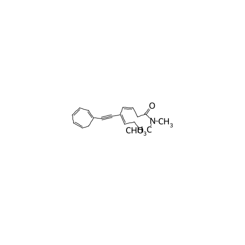 CN(C)C(=O)C/C=C\C(C#CC1=CC=CC=CC1)=C/CC=O